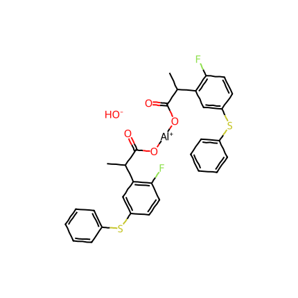 CC(C(=O)[O][Al+][O]C(=O)C(C)c1cc(Sc2ccccc2)ccc1F)c1cc(Sc2ccccc2)ccc1F.[OH-]